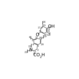 O=C(O)C(Cc1cc(I)c(Oc2cc(I)c(O)c(I)c2)c(I)c1)N(I)I